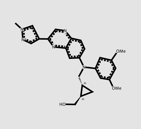 COc1cc(OC)cc(N(C[C@@H]2C[C@H]2CO)c2ccc3ncc(-c4cnn(C)c4)nc3c2)c1